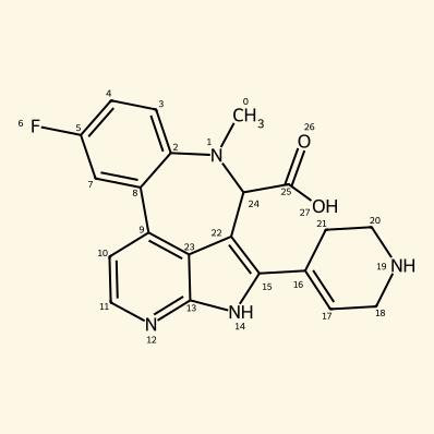 CN1c2ccc(F)cc2-c2ccnc3[nH]c(C4=CCNCC4)c(c23)C1C(=O)O